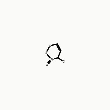 O=[PH]1OOC=CC1Cl